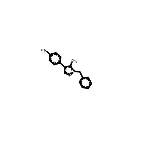 Cc1c(-c2ccc(N)cc2)cnn1Cc1ccccc1